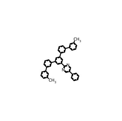 Cc1cccc(-c2cccc(-c3cc(-c4cccc(-c5cccc(C)c5)c4)cc(-c4ncc(-c5ccccc5)cn4)c3)c2)c1